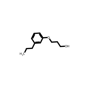 C[CH]Cc1cccc(OCCCO)c1